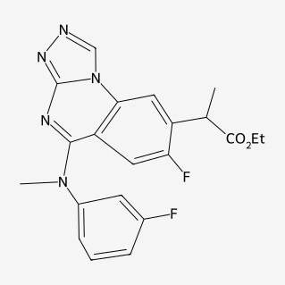 CCOC(=O)C(C)c1cc2c(cc1F)c(N(C)c1cccc(F)c1)nc1nncn12